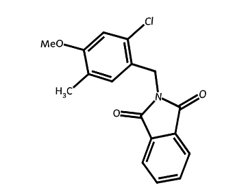 COc1cc(Cl)c(CN2C(=O)c3ccccc3C2=O)cc1C